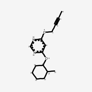 CC#CCOc1cc(OC2CCCCC2C)ncn1